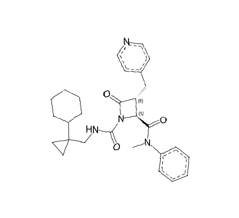 CN(C(=O)[C@@H]1[C@@H](Cc2ccncc2)C(=O)N1C(=O)NCC1(C2CCCCC2)CC1)c1ccccc1